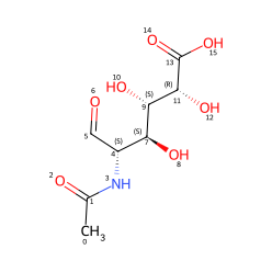 CC(=O)N[C@H](C=O)[C@H](O)[C@H](O)[C@@H](O)C(=O)O